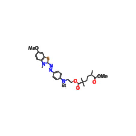 CCN(CCOC(=O)C(C)(C)CCC(C)C(=O)OC)c1ccc(/N=N/c2sc3cc(OC)ccc3[n+]2C)cc1